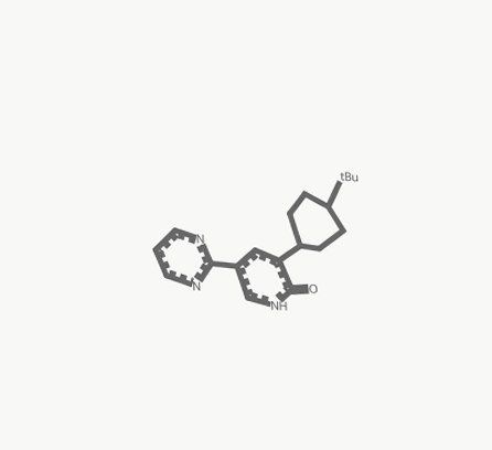 CC(C)(C)C1CCC(c2cc(-c3ncccn3)c[nH]c2=O)CC1